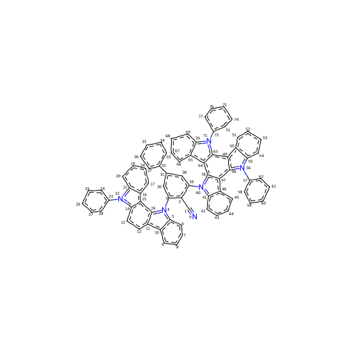 N#Cc1c(-n2c3ccccc3c3ccc4c(c5ccccc5n4-c4ccccc4)c32)cc(-c2ccccc2)cc1-n1c2ccccc2c2c3c(c4ccccc4n3-c3ccccc3)c3c(c4ccccc4n3-c3ccccc3)c21